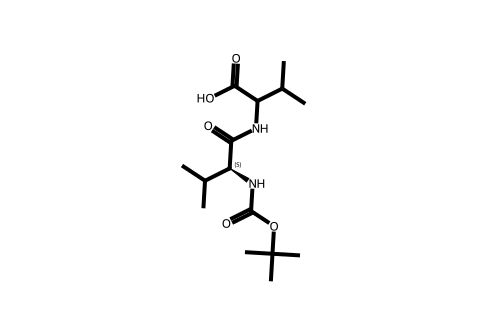 CC(C)C(NC(=O)[C@@H](NC(=O)OC(C)(C)C)C(C)C)C(=O)O